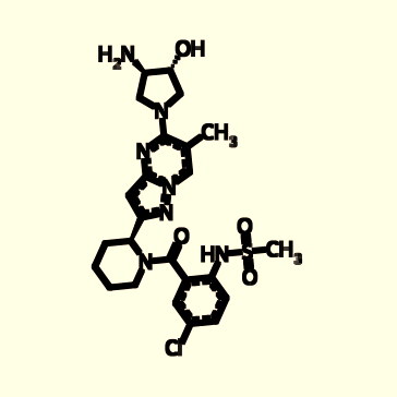 Cc1cn2nc([C@@H]3CCCCN3C(=O)c3cc(Cl)ccc3NS(C)(=O)=O)cc2nc1N1C[C@@H](N)[C@H](O)C1